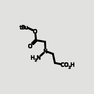 CC(C)(C)OC(=O)CN(N)CCC(=O)O